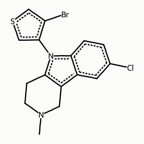 CN1CCc2c(c3cc(Cl)ccc3n2-c2cscc2Br)C1